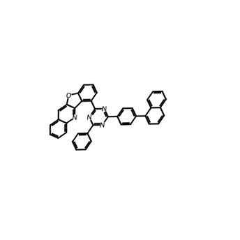 c1ccc(-c2nc(-c3ccc(-c4cccc5ccccc45)cc3)nc(-c3cccc4oc5cc6ccccc6nc5c34)n2)cc1